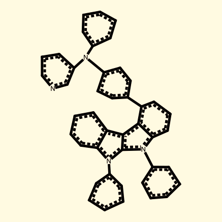 c1ccc(N(c2ccc(-c3cccc4c3c3c5ccccc5n(-c5ccccc5)c3n4-c3ccccc3)cc2)c2cccnc2)cc1